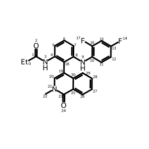 CCC(=O)Nc1cccc(Nc2ccc(F)cc2F)c1-c1cn(C)c(=O)c2ccccc12